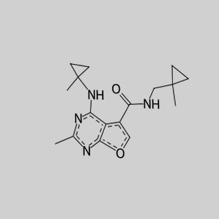 Cc1nc(NC2(C)CC2)c2c(C(=O)NCC3(C)CC3)coc2n1